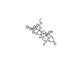 CCOC(=O)O[C@@H]1C[C@H]2[C@@H]3C[C@H](F)C4=CC(=O)C=C[C@]4(C)[C@H]3[C@@H](O)C[C@]2(C)[C@@]1(OC(=O)OCC)C(=O)OCCl